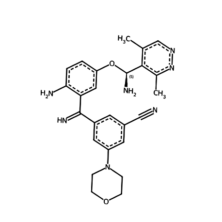 Cc1cnnc(C)c1[C@@H](N)Oc1ccc(N)c(C(=N)c2cc(C#N)cc(N3CCOCC3)c2)c1